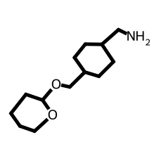 NCC1CCC(COC2CCCCO2)CC1